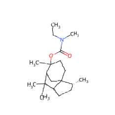 CCN(C)C(=O)OC1(C)CCC23CC1C(C)(C)C2CC[C@H]3C